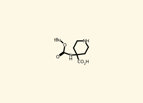 CC(C)(C)OC(=O)NC1(C(=O)O)CCNCC1